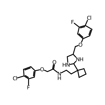 O=C(COc1ccc(Cl)c(F)c1)NCCC1(C2NCC(COc3ccc(Cl)c(F)c3)N2)CCC1